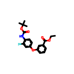 CCOC(=O)c1cccc(Oc2ccc(NC(=O)OC(C)(C)C)c(F)c2)c1